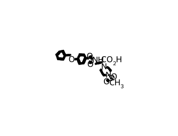 CS(=O)(=O)N1CCN([C@@H](CNS(=O)(=O)c2ccc(OCc3ccccc3)cc2)C(=O)O)CC1